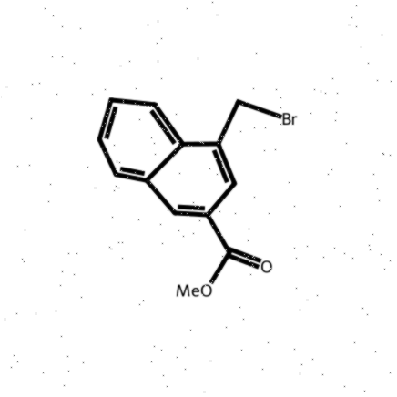 COC(=O)c1cc(CBr)c2ccccc2c1